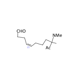 CNC(C)(CCC/C=C\CCC=O)C(C)=O